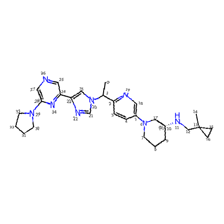 CC(c1ccc(N2CCC[C@@H](NCC3(C)CC3)C2)cn1)n1cnc(-c2cncc(N3CCCC3)n2)c1